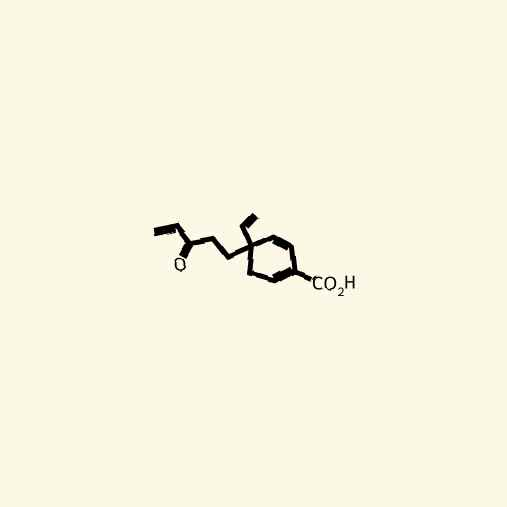 C=CC(=O)CCC1(C=C)C=CC(C(=O)O)=CC1